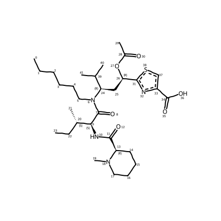 CCCCCCN(C(=O)[C@@H](NC(=O)[C@H]1CCCCN1C)[C@@H](C)CC)[C@H](C[C@@H](OC(C)=O)c1nc(C(=O)O)cs1)C(C)C